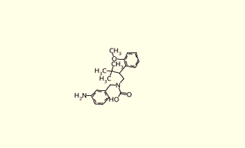 COc1ccccc1C(CN(Cc1cccc(N)c1)C(=O)O)C(C)(C)C